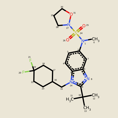 CN(c1ccc2c(c1)nc(C(C)(C)C)n2CC1CCC(F)(F)CC1)S(=O)(=O)N1CCCO1